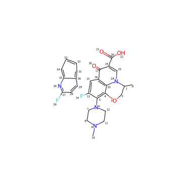 CC1COc2c(N3CCN(C)CC3)c(F)cc3c(=O)c(C(=O)O)cn1c23.Fc1ccc2ccccc2n1